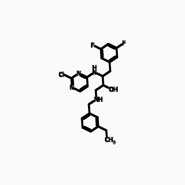 CCc1cccc(CNCC(O)C(Cc2cc(F)cc(F)c2)Nc2ccnc(Cl)n2)c1